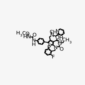 CCOC(=O)N(Cc1c(F)cccc1F)c1sc(-c2ccc(NC(=O)NOC)cc2)c(CN(C)Cc2ccccn2)c1C(=O)O